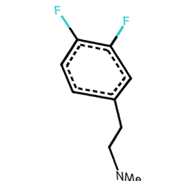 [CH2-][NH2+]CCc1ccc(F)c(F)c1